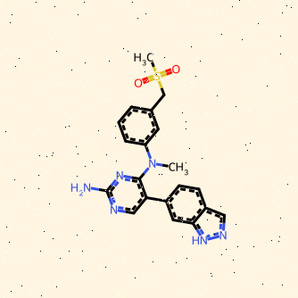 CN(c1cccc(CS(C)(=O)=O)c1)c1nc(N)ncc1-c1ccc2cn[nH]c2c1